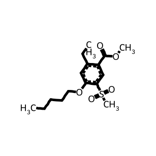 CCCCCOc1cc(CC)c(C(=O)OC)cc1S(C)(=O)=O